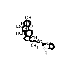 CC[C@H]1[C@@H](O)[C@@H]2[C@H](CC[C@]3(C)[C@@H]([C@H](C)CCOC(=O)N[C@@H]4CCC[C@H]4O)CC[C@@H]23)[C@@]2(C)CC[C@@H](O)C[C@@H]12